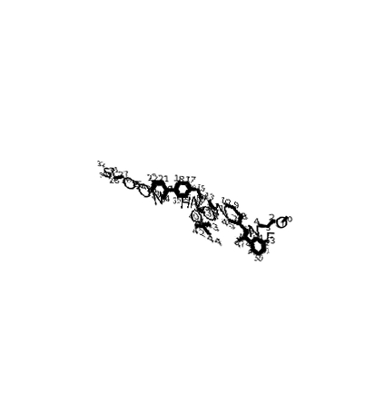 COCCCn1c(C2CCCN(CC[C@@H](Cc3ccc(-c4ccc(OCOCC[Si](C)(C)C)nc4)cc3)NC(=O)OC(C)(C)C)C2)c(C)c2cccc(F)c21